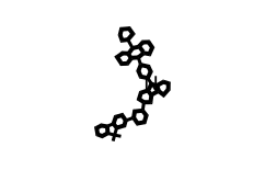 CC1(C)c2ccccc2-c2ccc(-c3cccc(-c4ccc5c(c4)c4ccccc4n5-c4ccc(-c5c6ccccc6c(-c6ccccc6)c6ccccc56)cc4)c3)cc21